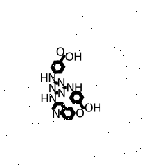 O=C(O)c1ccc(Nc2nc(Nc3ccc(C(=O)O)cc3)nc(Nc3cnc4ccccc4c3)n2)cc1